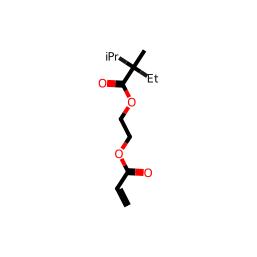 C=CC(=O)OCCOC(=O)C(C)(CC)C(C)C